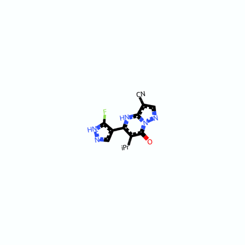 CC(C)c1c(-c2cn[nH]c2F)[nH]c2c(C#N)cnn2c1=O